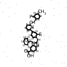 Cc1ccc(COc2cccc(-c3ccc(Cc4nc5ccc(C(=O)O)cc5n4CC45CCC(CC4)O5)c(F)c3)n2)c(F)c1